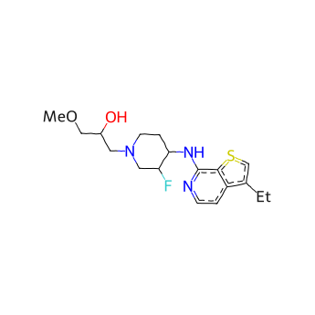 CCc1csc2c(NC3CCN(CC(O)COC)CC3F)nccc12